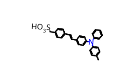 Cc1ccc(N(c2ccccc2)c2ccc(C=Cc3ccc(CS(=O)(=O)O)cc3)cc2)cc1